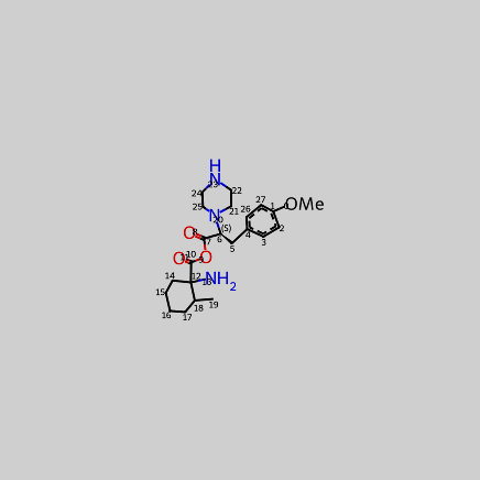 COc1ccc(C[C@@H](C(=O)OC(=O)C2(N)CCCCC2C)N2CCNCC2)cc1